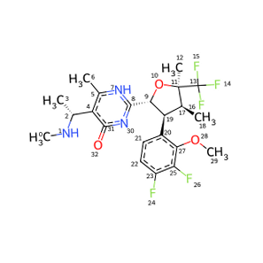 CN[C@H](C)c1c(C)[nH]c([C@@H]2O[C@@](C)(C(F)(F)F)[C@@H](C)[C@H]2c2ccc(F)c(F)c2OC)nc1=O